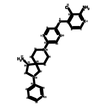 Nc1nccc(Sc2cnc(N3CCC4(CC3)CN(c3cccnc3)C[C@H]4N)cn2)c1Cl